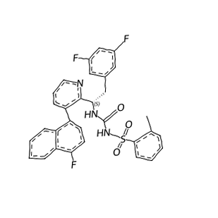 Cc1ccccc1S(=O)(=O)NC(=O)N[C@@H](Cc1cc(F)cc(F)c1)c1ncccc1-c1ccc(F)c2ccccc12